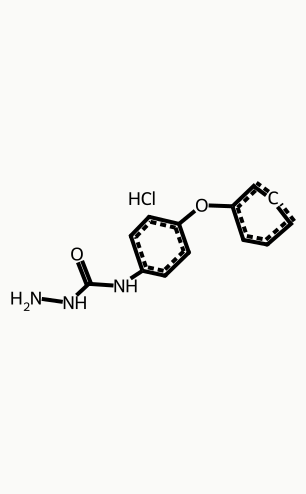 Cl.NNC(=O)Nc1ccc(Oc2ccccc2)cc1